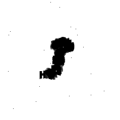 O=c1ccc(Oc2ccccc2)nn1Cc1cccc(-c2ncc(-c3cnn(C4CCNCC4)c3)cn2)c1